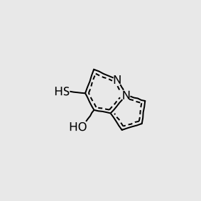 Oc1c(S)cnn2cccc12